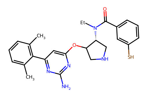 CCN(C(=O)c1cccc(S)c1)[C@@H]1CNCC1Oc1cc(-c2c(C)cccc2C)nc(N)n1